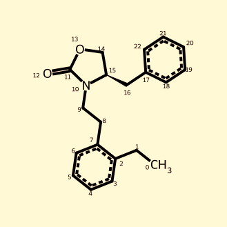 CCc1ccccc1CCN1C(=O)OC[C@H]1Cc1ccccc1